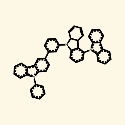 C1=CC2c3c(cccc3-n3c4ccccc4c4ccccc43)N(c3cccc(-c4ccc5c(c4)c4ccccc4n5-c4ccccc4)c3)C2C=C1